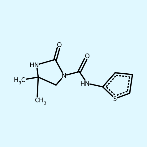 CC1(C)CN(C(=O)Nc2cccs2)C(=O)N1